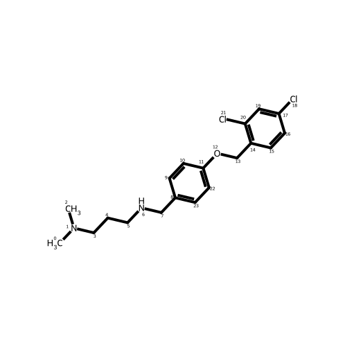 CN(C)CCCNCc1ccc(OCc2ccc(Cl)cc2Cl)cc1